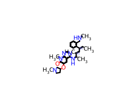 C/C=C(\C=C(/C)[C@@H](C)Nc1ncnc2c1cc(OC1CCN(C)C1)c(=O)n2C)c1ccccc1CNC